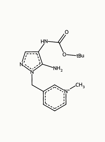 C[n+]1cccc(Cn2ncc(NC(=O)OC(C)(C)C)c2N)c1